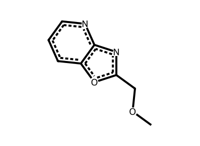 COCc1nc2ncccc2o1